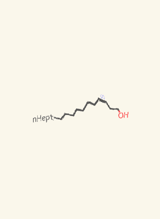 CCCCCCCCCCCCCC/C=C\CCO